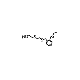 CCSCc1ccccc1CSCCSCCO